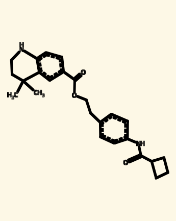 CC1(C)CCNc2ccc(C(=O)OCCc3ccc(NC(=O)C4CCC4)cc3)cc21